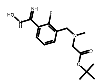 CN(CC(=O)OC(C)(C)C)Cc1cccc(C(=N)NO)c1F